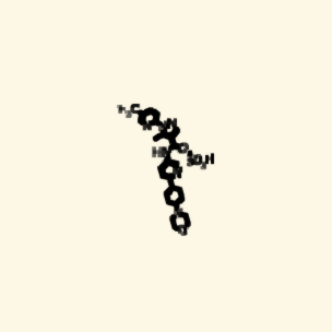 CS(=O)(=O)O.Cc1c(C(=O)Nc2ccc(C3=CCC(N4CCOCC4)CC3)nc2)cnn1-c1ccc(C(F)(F)F)cn1